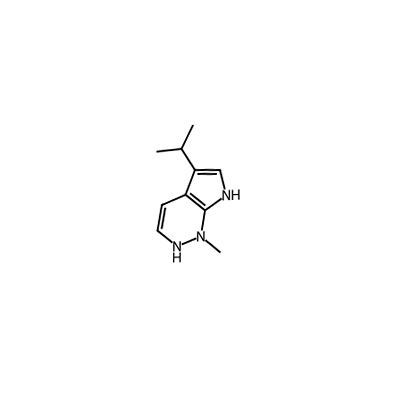 CC(C)c1c[nH]c2c1C=CNN2C